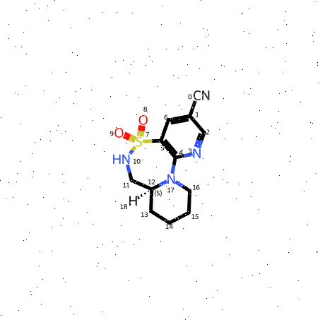 N#Cc1cnc2c(c1)S(=O)(=O)NC[C@@H]1CCCCN21